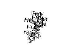 CC(C)C(=O)Nc1nc2c(ncn2[C@@H]2O[C@H](CO[Si](c3ccccc3)(c3ccccc3)C(C)(C)C)[C@@H](O)[C@H]2OCCO)c(=O)[nH]1